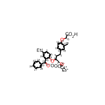 CCc1ccc(OC(C)CCc2ccc(OCC(=O)O)c(C)c2)c(C(=O)c2ccccc2)c1.O=C([O-])[O-].[Cs+].[Cs+]